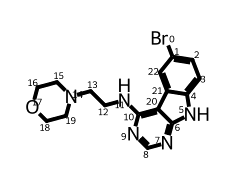 Brc1ccc2[nH]c3ncnc(NCCN4CCOCC4)c3c2c1